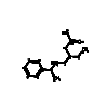 CC[C@@H](CN[C@@H](C)c1ccccc1)CC(=O)O